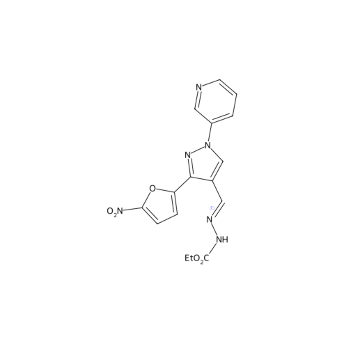 CCOC(=O)N/N=C/c1cn(-c2cccnc2)nc1-c1ccc([N+](=O)[O-])o1